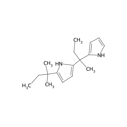 CCC(C)(C)c1ccc(C(C)(CC)c2ccc[nH]2)[nH]1